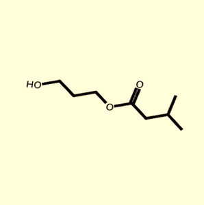 CC(C)CC(=O)OCCCO